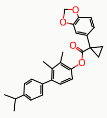 Cc1c(OC(=O)C2(c3ccc4c(c3)OCO4)CC2)ccc(-c2ccc(C(C)C)cc2)c1C